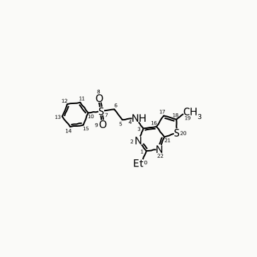 CCc1nc(NCCS(=O)(=O)c2ccccc2)c2cc(C)sc2n1